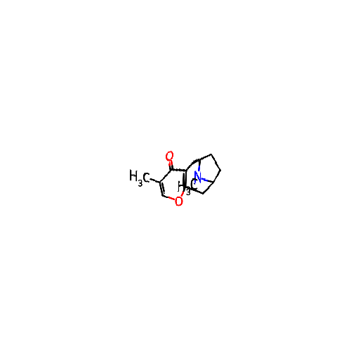 Cc1coc2c(c1=O)C1CCC(C2)N1C